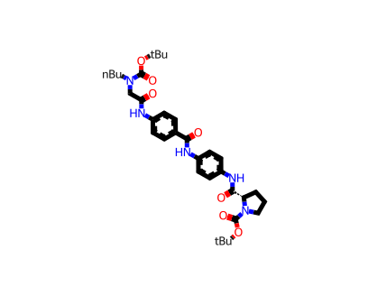 CCCCN(CC(=O)Nc1ccc(C(=O)Nc2ccc(NC(=O)[C@@H]3CCCN3C(=O)OC(C)(C)C)cc2)cc1)C(=O)OC(C)(C)C